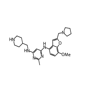 COc1ccc(Nc2cc(NCC3CCNCC3)nc(C)n2)c2cc(CN3CCCC3)oc12